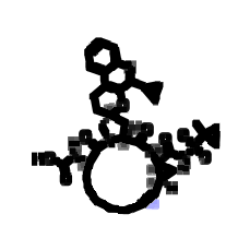 CC1(S(=O)(=O)NC(=O)[C@@]23C[C@H]2/C=C\CCCCC[C@H](NC(=O)O)C(=O)N2C[C@@]4(CCc5c(c(C6CC6)nc6ccccc56)O4)C[C@H]2C(=O)N3)CC1